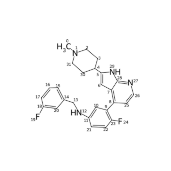 CN1CCC(c2cc3c(-c4cc(NCc5cccc(F)c5)ccc4F)ccnc3[nH]2)CC1